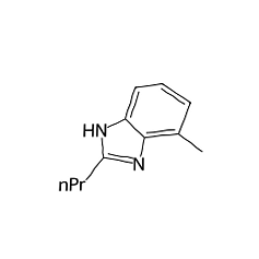 CCCc1nc2c(C)cccc2[nH]1